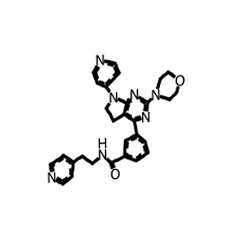 O=C(NCCc1ccncc1)c1cccc(-c2nc(N3CCOCC3)nc3c2CCN3c2ccncc2)c1